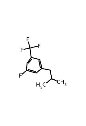 CC(C)Cc1cc(F)cc(C(F)(F)F)c1